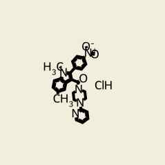 Cc1ccc2c(c1)c(C(=O)N1CCN(c3ccccn3)CC1)c(-c1ccc([N+](=O)[O-])cc1)n2C.Cl